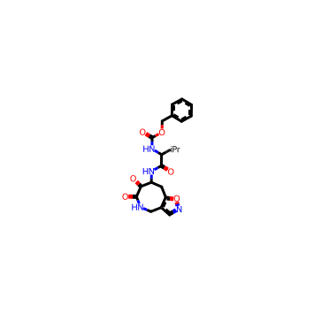 CC(C)C(NC(=O)OCc1ccccc1)C(=O)NC1Cc2oncc2CNC(=O)C1=O